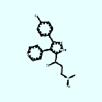 CCC(CCN(C)C(C)=O)c1[nH]nc(-c2ccc(Cl)cc2)c1-c1ccncc1